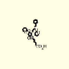 O=C(O)CCCC=CC[C@@H]1[C@@H](C=C[C@H](CCc2ccccc2)OC2CCCCO2)[C@H](OC2CCCCO2)C[C@@H]1O